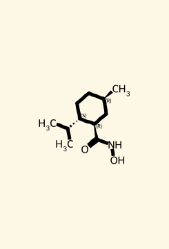 CC(C)[C@@H]1CC[C@@H](C)C[C@H]1C(=O)NO